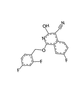 N#Cc1c(O)nc(OCc2ccc(F)cc2F)c2cc(F)ccc12